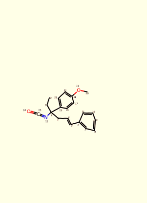 CCC(CC=Cc1ccccc1)(N=C=O)c1ccc(OC)cc1